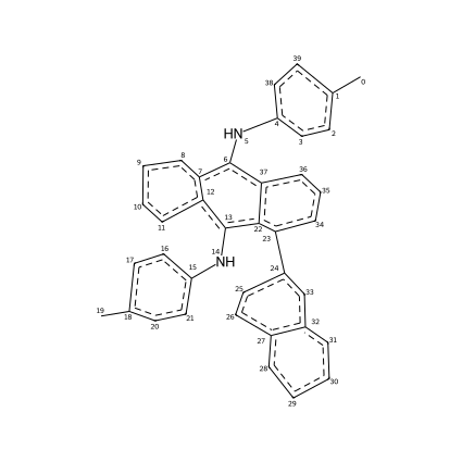 Cc1ccc(Nc2c3ccccc3c(Nc3ccc(C)cc3)c3c(-c4ccc5ccccc5c4)cccc23)cc1